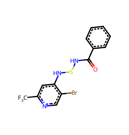 O=C(NSNc1cc(C(F)(F)F)ncc1Br)c1ccccc1